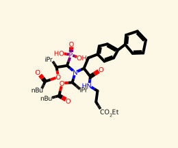 CCCCC(=O)OC(C(C)C)C(N(C(Cc1ccc(-c2ccccc2)cc1)C(=O)NCCC(=O)OCC)C(OC(=O)CCCC)C(C)C)P(=O)(O)O